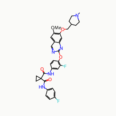 COc1cc2cnc(Oc3ccc(NC(=O)C4(C(=O)Nc5ccc(F)cc5)CC4)cc3F)nc2cc1OCC1CCN(C)CC1